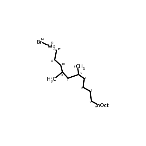 CCCCCCCCCCCCC(C)CC(C)CC[CH2][Mg][Br]